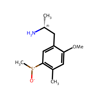 COc1cc(C)c([S+](C)[O-])cc1C[C@@H](C)N